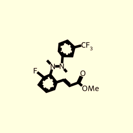 COC(=O)/C=C/c1cccc(F)c1N(C)N(C)c1cccc(C(F)(F)F)c1